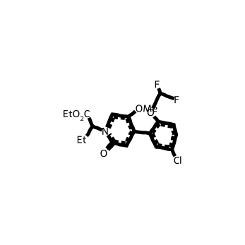 CCOC(=O)C(CC)n1cc(OC)c(-c2cc(Cl)ccc2OC(F)F)cc1=O